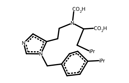 CC(C)CC(C(=O)O)N(CCc1cncn1Cc1ccc(C(C)C)cc1)C(=O)O